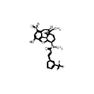 CN(C(=O)/C=C/c1cccc(C(F)(F)F)c1)C1CC[C@@]2(O)[C@H]3Cc4c([N+](=O)[O-])cc(O)c5c4[C@@]2(CCN3C)C1O5